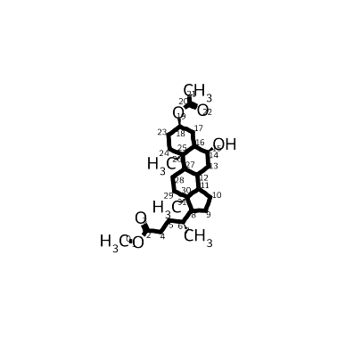 COC(=O)CC[C@@H](C)C1CCC2C3C[C@H](O)C4C[C@H](OC(C)=O)CC[C@]4(C)C3CC[C@@]21C